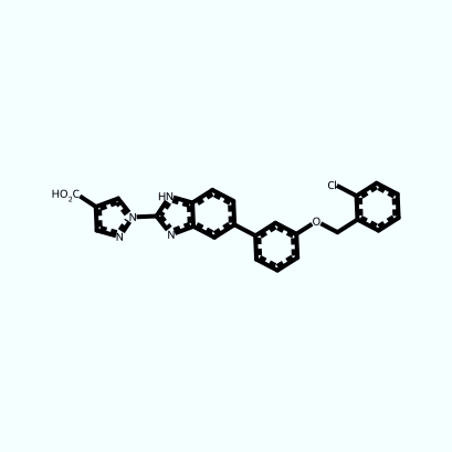 O=C(O)c1cnn(-c2nc3cc(-c4cccc(OCc5ccccc5Cl)c4)ccc3[nH]2)c1